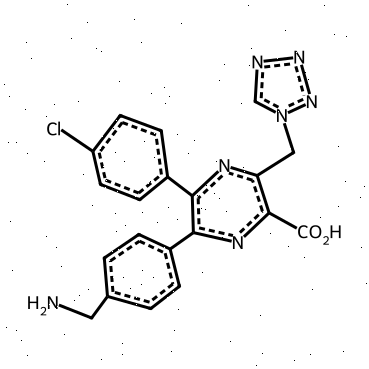 NCc1ccc(-c2nc(C(=O)O)c(Cn3cnnn3)nc2-c2ccc(Cl)cc2)cc1